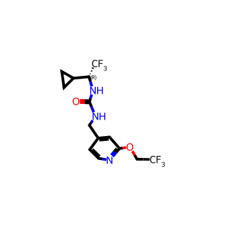 O=C(NCc1ccnc(OCC(F)(F)F)c1)N[C@H](C1CC1)C(F)(F)F